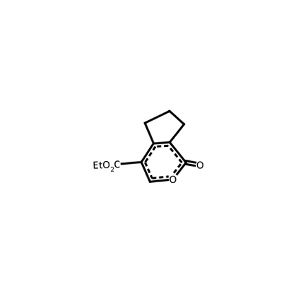 CCOC(=O)c1coc(=O)c2c1CCC2